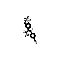 CNC(=O)c1c(-c2ccc(C#N)cc2)oc2cc(N(C)S(C)(=O)=O)c(C)cc12